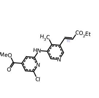 CCOC(=O)/C=C/c1cncc(Nc2cc(C(=O)OC)cc(Cl)n2)c1C